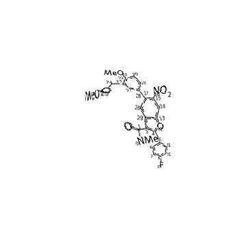 CNC(=O)c1c(-c2ccc(F)cc2)oc2cc([N+](=O)[O-])c(-c3ccc(OC)c(COOC)c3)cc12